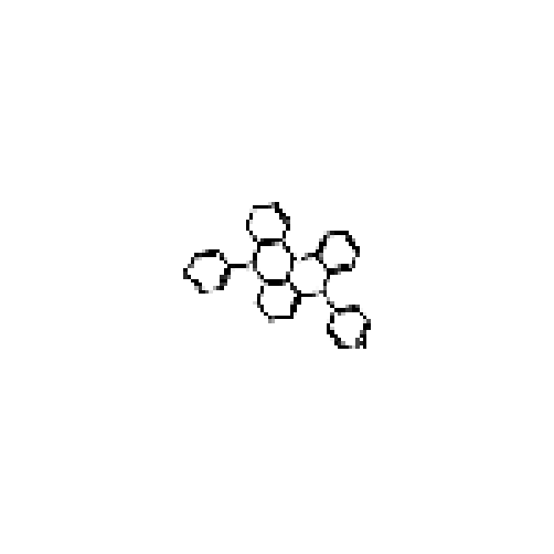 C1=CC2=C(CC1)N(c1ccncc1)C1=C3B2c2ccccc2N(c2ccncc2)C3=CCC1